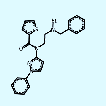 CCN(CCN(C(=O)c1cccs1)c1ccn(-c2ccccc2)n1)Cc1ccccc1